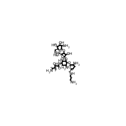 NCCCNC[C@@H]1CC[C@@H](N)[C@@H](O[C@H]2[C@H](O[C@@H]3O[C@H](CO)[C@@H](O[C@H]4O[C@@H](CN)[C@@H](O)[C@H](O)[C@H]4N)[C@H]3O)[C@@H](O)[C@H](NC(=O)C(O)[C@@H](F)CN)C[C@@H]2N)O1